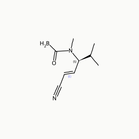 BC(=O)N(C)[C@H](/C=C/C#N)C(C)C